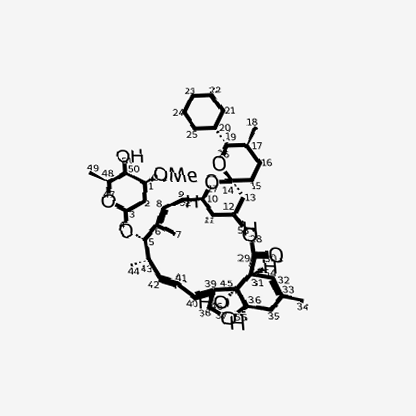 CO[C@H]1CC(O[C@@H]2/C(C)=C/C[C@@H]3C[C@@H](C[C@]4(CC[C@H](C)[C@@H](C5CCCCC5)O4)O3)OC(=O)[C@@H]3C=C(C)C[C@H]4OC/C(=C\C=C\[C@@H]2C)[C@]43O)O[C@@H](C)C1O